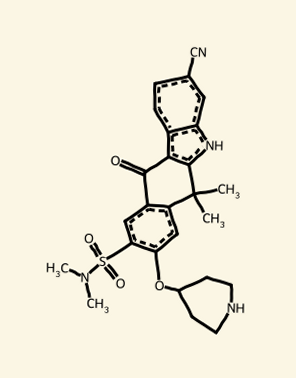 CN(C)S(=O)(=O)c1cc2c(cc1OC1CCNCC1)C(C)(C)c1[nH]c3cc(C#N)ccc3c1C2=O